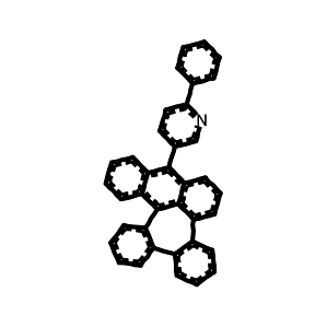 c1ccc(-c2ccc(-c3c4ccccc4c4c5c(cccc35)-c3ccccc3-c3ccccc3-4)cn2)cc1